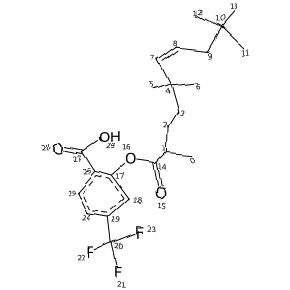 CC(CCC(C)(C)/C=C\CC(C)(C)C)C(=O)Oc1cc(C(F)(F)F)ccc1C(=O)O